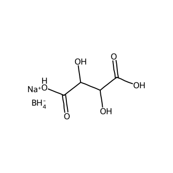 O=C(O)C(O)C(O)C(=O)O.[BH4-].[Na+]